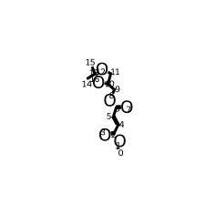 COC(=O)/C=C/C(=O)OCC1COC(C)(C)O1